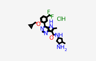 Cc1[nH]c2c(-c3cc(C(F)F)ccc3OCC3CC3)ncnc2c1C(=O)NC1CC(C)C(N)C1.Cl